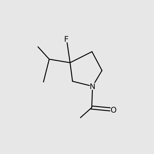 CC(=O)N1CCC(F)(C(C)C)C1